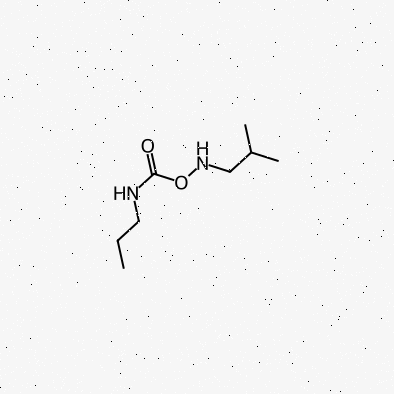 CCCNC(=O)ONCC(C)C